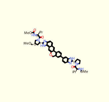 COC[C@H]1C[C@@H](c2nc3ccc4cc5c(cc4c3[nH]2)OCc2cc(-c3ccc4nc([C@@H]6CCCN6C(=O)[C@@H](NOC)C(C)C)[nH]c4c3)ccc2-5)N(C(=O)[C@@H](NC(=O)OC)C(C)C)C1